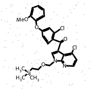 COc1ccccc1Oc1ccc(C(=O)c2cn(COCC[Si](C)(C)C)c3nccc(Cl)c23)c(Cl)c1